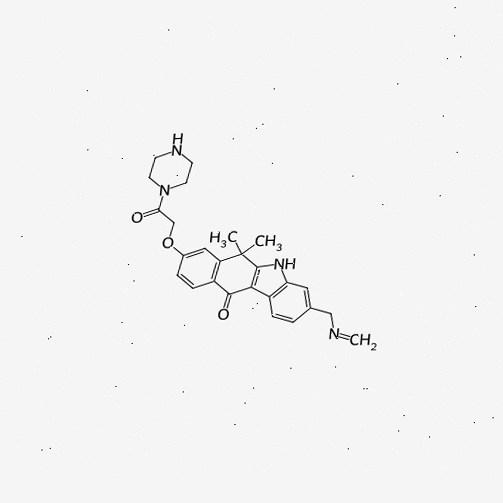 C=NCc1ccc2c3c([nH]c2c1)C(C)(C)c1cc(OCC(=O)N2CCNCC2)ccc1C3=O